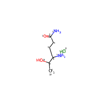 Cl.NC(=O)CCC(N)C(O)C(F)(F)F